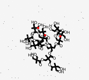 CC(OCC(C)(COC(=O)C(C)(CO)CO)C(=O)OCC(COC(=O)C(C)(COC(=O)C(C)(CO)CO)COC(=O)C(C)(CO)CO)(COC(=O)C(C)(COC(=O)C(C)(CO)CO)COC(=O)C(C)(CO)CO)COC(=O)C(C)(COC(=O)C(C)(CO)CO)COC(=O)C(C)(CO)CO)C(C)(CO)CO